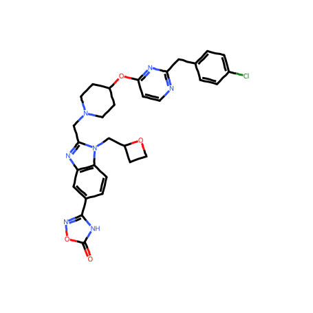 O=c1[nH]c(-c2ccc3c(c2)nc(CN2CCC(Oc4ccnc(Cc5ccc(Cl)cc5)n4)CC2)n3CC2CCO2)no1